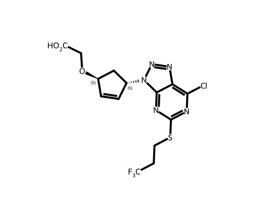 O=C(O)CO[C@@H]1C=C[C@@H](n2nnc3c(Cl)nc(SCCC(F)(F)F)nc32)C1